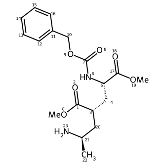 COC(=O)[C@H](C[C@H](NC(=O)OCc1ccccc1)C(=O)OC)C[C@@H](C)N